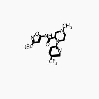 CN1CCN(c2ccc(C(F)(F)F)cn2)C(C(=O)Nc2cc(C(C)(C)C)no2)C1